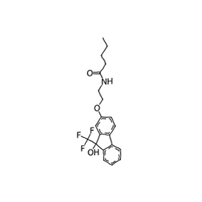 CCCCC(=O)NCCOc1ccc2c(c1)C(O)(C(F)(F)F)c1ccccc1-2